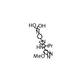 COc1cc(-c2[nH]c3sc(C4CCC(N5CC(CO)(CO)C5)CC4)nc3c2C(C)C)cn2ncnc12